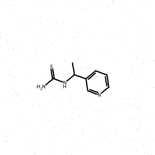 CC(NC(N)=S)c1cccnc1